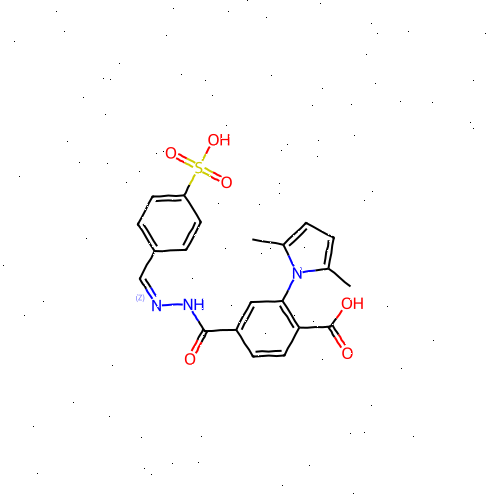 Cc1ccc(C)n1-c1cc(C(=O)N/N=C\c2ccc(S(=O)(=O)O)cc2)ccc1C(=O)O